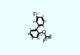 Fc1cccc(-c2cc[c]cc2OC(F)F)c1